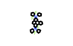 Fc1ccccc1N(c1cc2ccc3cc(N(c4ccccc4F)c4ccccc4F)cc4c5ccccc5c(c1)c2c34)c1ccccc1F